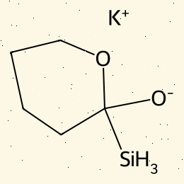 [K+].[O-]C1([SiH3])CCCCO1